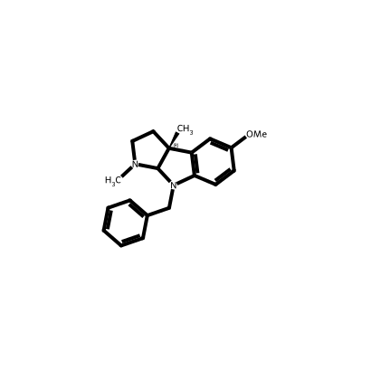 COc1ccc2c(c1)[C@@]1(C)CCN(C)C1N2Cc1ccccc1